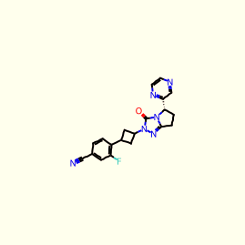 N#Cc1ccc(C2CC(n3nc4n(c3=O)[C@H](c3cnccn3)CC4)C2)c(F)c1